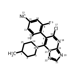 CC1CCN(c2c(-c3c(F)cc(C#N)cc3F)c(Cl)nc3ncnn23)CC1